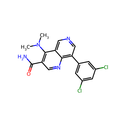 CN(C)c1c(C(N)=O)cnc2c(-c3cc(Cl)cc(Cl)c3)cncc12